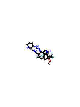 C=N/C=C(\C(=N/CNC1CCCNC1)c1c[nH]c2c(C(F)F)c(OC)ccc12)C(C)(F)F